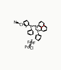 CC#N.F[B-](F)(F)F.[Cl][Pd+].c1ccc(N(CP(c2ccccc2)c2ccccc2)CP(c2ccccc2)c2ccccc2)cc1